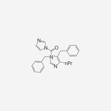 CCCC1=C(Cc2ccccc2)[N+](Cc2ccccc2)(C(=O)n2ccnc2)C=N1